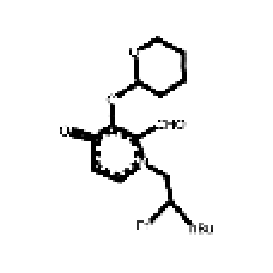 CCCCC(CC)Cn1ccc(=O)c(OC2CCCCO2)c1C=O